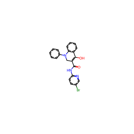 O=C(Nc1ccc(Br)cn1)C1=C(O)c2ccccc2N(c2ccccc2)C1